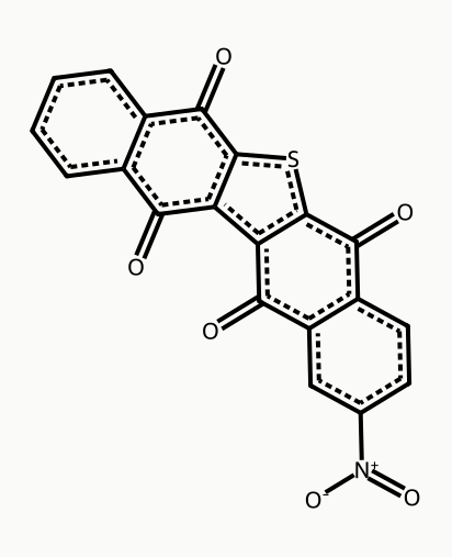 O=c1c2ccccc2c(=O)c2c1sc1c(=O)c3ccc([N+](=O)[O-])cc3c(=O)c12